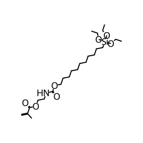 C=C(C)C(=O)OCCNC(=O)OCCCCCCCCCCC[Si](OCC)(OCC)OCC